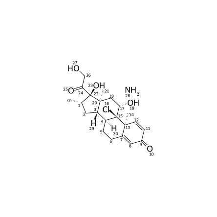 C[C@H]1C[C@H]2[C@@H]3CCC4=CC(=O)C=C[C@]4(C)[C@@]3(Cl)[C@@H](O)C[C@]2(C)[C@@]1(O)C(=O)CO.N